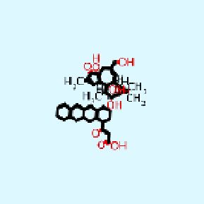 CC1=C[C@H]2[C@]3(O)[C@H](C)[C@@H](O)[C@@]4(O)[C@H]([C@@H]3C=C(CO)C[C@@]2(O)C1=O)C4(C)C.O=C(O)CC(=O)C1CCCC2CC3CC4CCCCC4CC3CC21